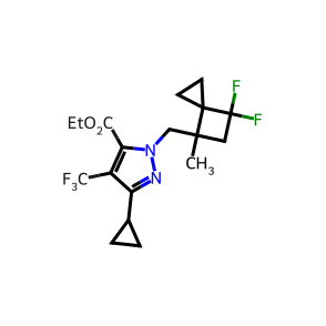 CCOC(=O)c1c(C(F)(F)F)c(C2CC2)nn1CC1(C)CC(F)(F)C12CC2